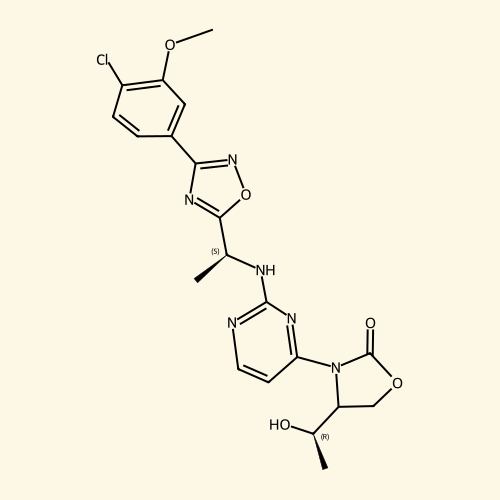 COc1cc(-c2noc([C@H](C)Nc3nccc(N4C(=O)OCC4[C@@H](C)O)n3)n2)ccc1Cl